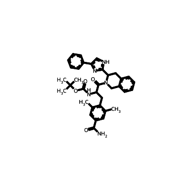 Cc1cc(C(N)=O)cc(C)c1CC(NC(=O)OC(C)(C)C)C(=O)N1Cc2ccccc2CC1c1nc(-c2ccccc2)c[nH]1